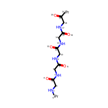 CC(C)NCC(=O)NCC(=O)NCC(=O)NCC(=O)NCC(=O)C(C)C